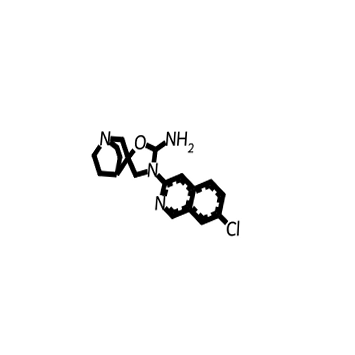 NC1OC2(CN3CCC2CC3)CN1c1cc2ccc(Cl)cc2cn1